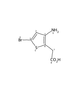 Nc1cc(Br)sc1CC(=O)O